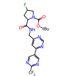 CC(C)(C)OC(=O)N1CC(F)CC1C(=O)NCc1cc(-c2cnc(C(F)(F)F)nc2)ncn1